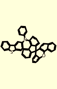 c1ccc(N(c2ccc3sc4ccccc4c3c2)c2cccc3c2-c2ccccc2C32c3ccccc3Oc3c2ccc2ccccc32)cc1